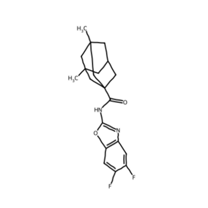 CC12CC3CC(C)(C1)CC(C(=O)Nc1nc4cc(F)c(F)cc4o1)(C3)C2